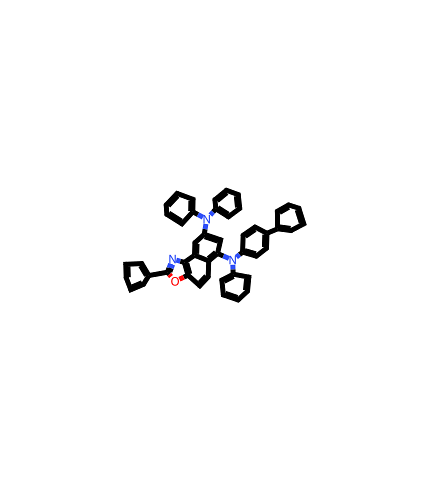 c1ccc(-c2ccc(N(c3ccccc3)c3cc(N(c4ccccc4)c4ccccc4)cc4c3ccc3oc(-c5ccccc5)nc34)cc2)cc1